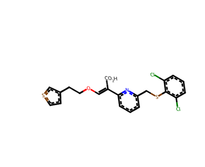 O=C(O)C(=COCCc1ccsc1)c1cccc(CSc2c(Cl)cccc2Cl)n1